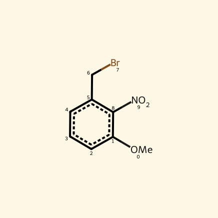 COc1cccc(CBr)c1[N+](=O)[O-]